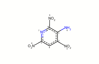 Nc1c([N+](=O)[O-])cc([N+](=O)[O-])nc1[N+](=O)[O-]